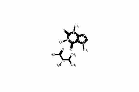 CC(C)[C@H](N)C(=O)O.Cn1c(=O)c2c(ncn2C)n(C)c1=O